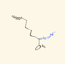 CCCCCCCCCCCC(=[N+]=[N-])OC(C)=O